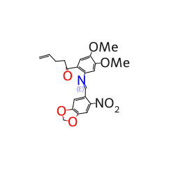 C=CCCC(=O)c1cc(OC)c(OC)cc1/N=C/c1cc2c(cc1[N+](=O)[O-])OCO2